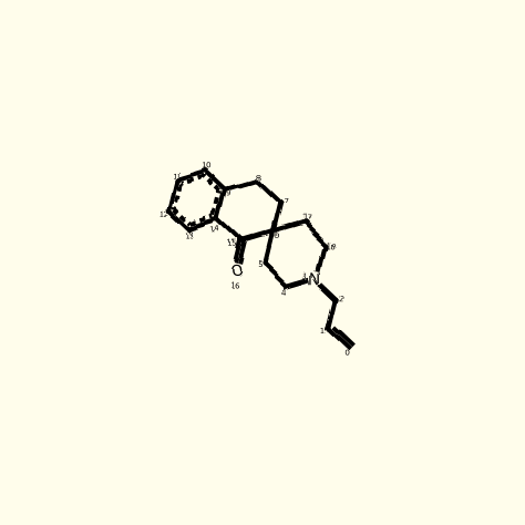 C=CCN1CCC2(CCc3ccccc3C2=O)CC1